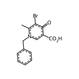 Cc1c(Br)c(=O)c(C(=O)O)cn1Cc1ccccc1